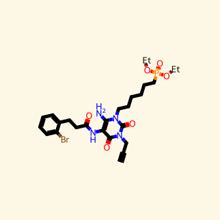 C#CCn1c(=O)c(NC(=O)CCc2ccccc2Br)c(N)n(CCCCCCP(=O)(OCC)OCC)c1=O